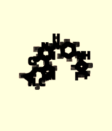 Cn1ncc(-c2nc(N[C@H]3CC[C@H](NC4CC(F)(F)C4)CC3)ncc2Cl)c1CC1CC1